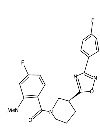 CNc1cc(F)ccc1C(=O)N1CCC[C@H](c2nc(-c3ccc(F)cc3)no2)C1